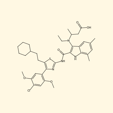 CCN(c1c(C(=O)Nc2nc(-c3cc(OC)c(Cl)cc3OC)c(CCC3CCCCC3)s2)[nH]c2c(C)cc(C)cc12)C(C)CC(=O)O